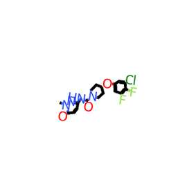 Cn1nc(NC(=O)N2CCC(Oc3cc(F)c(F)c(Cl)c3)CC2)ccc1=O